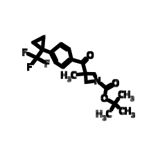 CC(C)(C)OC(=O)N1CC(C)(C(=O)c2ccc(C3(C(F)(F)F)CC3)cc2)C1